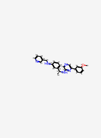 COc1cccc(-c2cncc(N[C@@H](C)c3cccc(NCc4cccnc4)c3)n2)c1